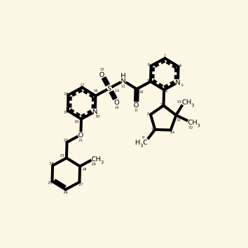 CC1CC(c2ncccc2C(=O)NS(=O)(=O)c2cccc(OCC3CC=CCC3C)n2)C(C)(C)C1